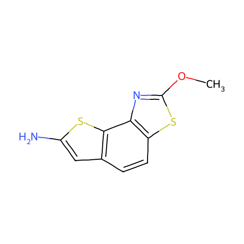 COc1nc2c(ccc3cc(N)sc32)s1